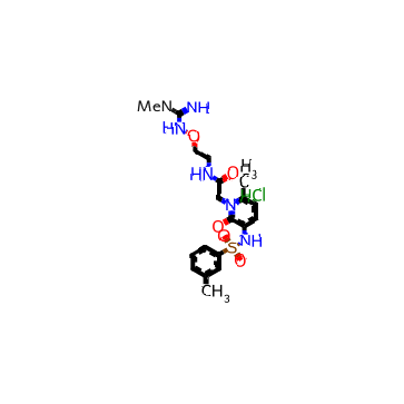 CNC(=N)NOCCNC(=O)Cn1c(C)ccc(NS(=O)(=O)c2cccc(C)c2)c1=O.Cl